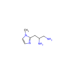 Cn1ccnc1CC(N)CN